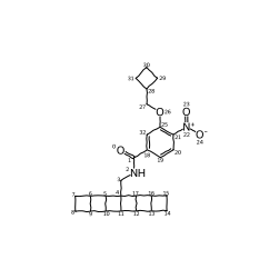 O=C(NCC12C3C4CCC4C3C1C1C3CCC3C12)c1ccc([N+](=O)[O-])c(OCC2CCC2)c1